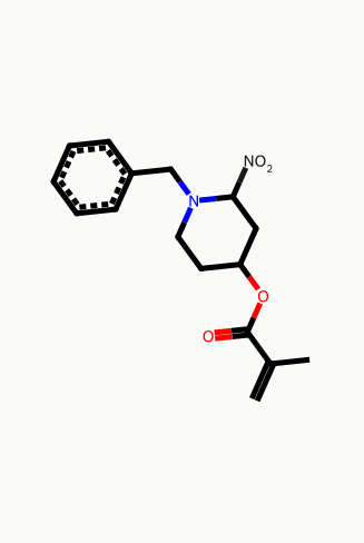 C=C(C)C(=O)OC1CCN(Cc2ccccc2)C([N+](=O)[O-])C1